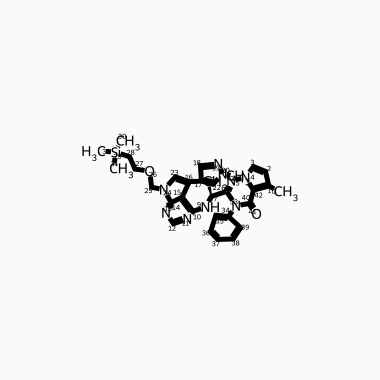 Cc1ccn2nc([C@H](C)Nc3ncnc4c3c(-c3cnn(C)c3)cn4COCC[Si](C)(C)C)n(-c3ccccc3)c(=O)c12